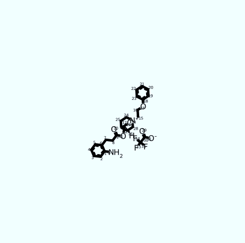 Nc1ccccc1CCC(=O)O[C@H]1C[N+]2(CCOc3ccccc3)CCC1CC2.O=C([O-])C(F)(F)F